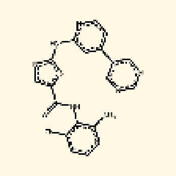 Cc1cccc(Cl)c1NC(=O)c1cnc(Nc2cc(-c3cncnc3)ccn2)s1